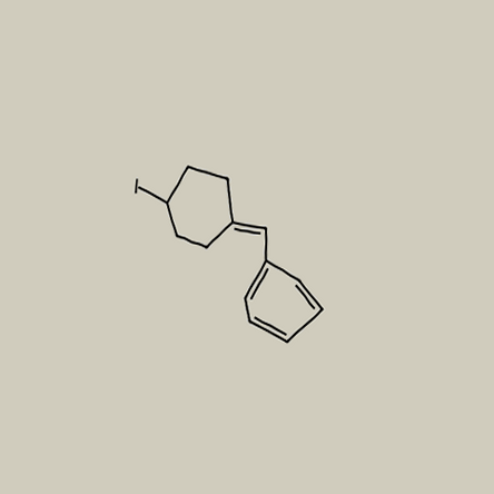 IC1CCC(=Cc2ccccc2)CC1